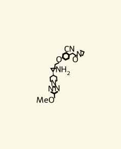 COCc1cnc(N2CCC([C@H]3CC3(N)CCOc3ccc(CC(=O)N4CCC4)c(C#N)c3)CC2)nc1